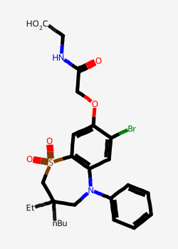 CCCCC1(CC)CN(c2ccccc2)c2cc(Br)c(OCC(=O)NCC(=O)O)cc2S(=O)(=O)C1